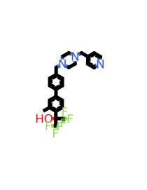 Cc1cc(-c2ccc(CN3CCN(Cc4ccncc4)CC3)cc2)ccc1C(O)(C(F)(F)F)C(F)(F)F